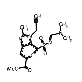 C#CCn1c(C)nc2cc(C(=O)OC)cc(S(=O)(=O)N=CN(C)C)c21